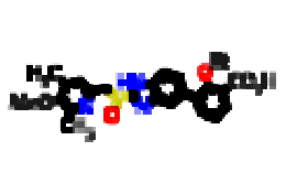 CCOc1c(C(=O)O)cccc1-c1ccc2[nH]c([S+]([O-])Cc3cc(C)c(OC)c(C)n3)nc2c1